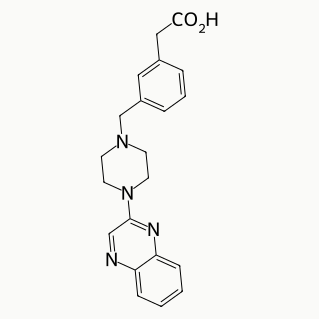 O=C(O)Cc1cccc(CN2CCN(c3cnc4ccccc4n3)CC2)c1